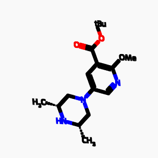 COc1ncc(N2C[C@@H](C)N[C@@H](C)C2)cc1C(=O)OC(C)(C)C